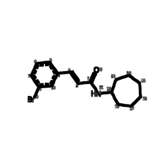 O=C(C=Cc1cccc(Br)c1)NC1CCCCCC1